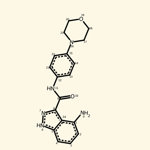 Nc1cccc2[nH]nc(C(=O)Nc3ccc(N4CCOCC4)cc3)c12